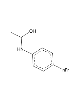 CCCc1ccc(NC(C)O)cc1